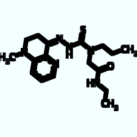 CCCN(CC(=O)NCC)C(=S)N/N=C1/CCN(C)c2cccnc21